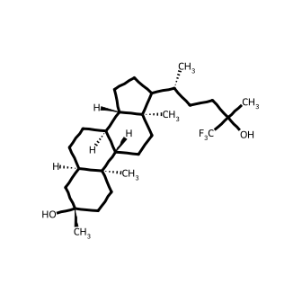 C[C@H](CCC(C)(O)C(F)(F)F)C1CC[C@H]2[C@@H]3CC[C@@H]4C[C@@](C)(O)CC[C@]4(C)[C@H]3CC[C@]12C